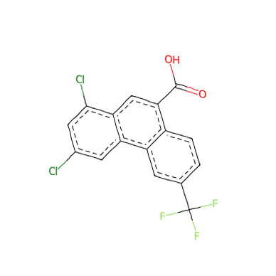 O=C(O)c1cc2c(Cl)cc(Cl)cc2c2cc(C(F)(F)F)ccc12